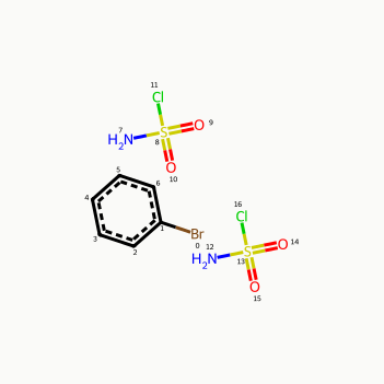 Brc1ccccc1.NS(=O)(=O)Cl.NS(=O)(=O)Cl